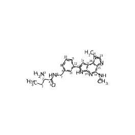 CC[C@H](N)C(=O)NCc1cccc(-c2cc3c(nc(NC)c4ncn(C)c43)[nH]2)c1